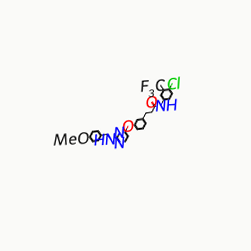 COc1ccc(CNc2nccc(Oc3cccc(CCC(=O)Nc4ccc(Cl)c(C(F)(F)F)c4)c3)n2)cc1